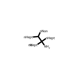 CCCCCCCCCC(CCCCCCC)C(N)(CCCCCCC)CCCCCCC.I